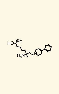 CC(N)(CCCCB(O)O)CCN1CC=C(c2ccccc2)CC1